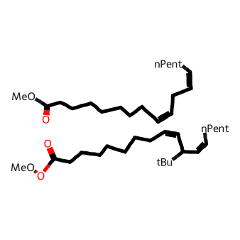 CCCCC/C=C\C(/C=C\CCCCCCCC(=O)OOC)C(C)(C)C.CCCCC/C=C\C/C=C\CCCCCCCC(=O)OC